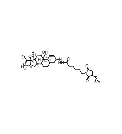 CCCSC1CC(=O)N(CCCCCC(=O)NN=C2C=C[C@@]3(C)C(=C2)CC[C@H]2[C@@H]4C[C@@H](C)[C@](O)(C(=O)CC)[C@@]4(C)C[C@H](O)[C@@]23F)C1=O